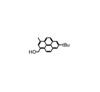 Cc1cc(CO)c2ccc3cc(C(C)(C)C)cc4ccc1c2c43